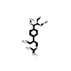 C=C(N)/N=C\C(CN)c1ccc([C@@H](OC)[C@@H](CF)N=[N+]=[N-])cc1